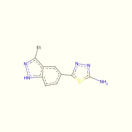 CCc1n[nH]c2ccc(-c3nnc(N)s3)cc12